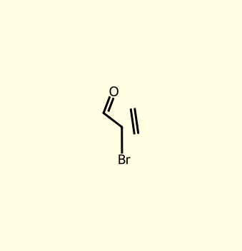 C=C.O=CCBr